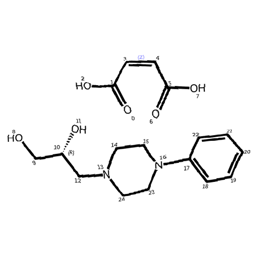 O=C(O)/C=C\C(=O)O.OC[C@H](O)CN1CCN(c2ccccc2)CC1